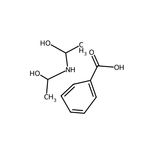 CC(O)NC(C)O.O=C(O)c1ccccc1